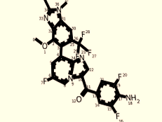 COc1c(-c2cc(F)cn3c(C(=O)c4cc(F)c(N)c(F)c4)cnc23)c(C(F)(F)F)cc2c1nc(C)n2C